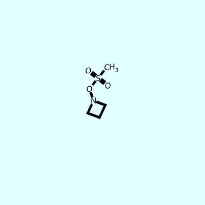 CS(=O)(=O)ON1CCC1